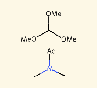 CC(=O)N(C)C.COC(OC)OC